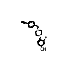 C#Cc1ccc(CN2CCN(c3ccc(C#N)cc3F)CC2)cc1